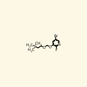 C[Si](C)(C)CCOCOc1cc(Br)cnc1F